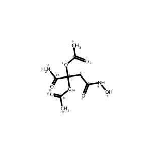 CC(=O)OC(CC(=O)NO)(OC(C)=O)C(N)=O